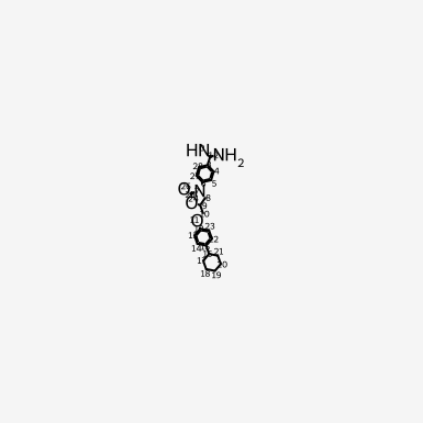 N=C(N)c1ccc(N2CC(COc3ccc(C4CCCCC4)cc3)OC2=O)cc1